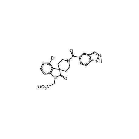 O=C(O)CN1C(=O)C2(CCN(C(=O)c3ccc4[nH]ncc4c3)CC2)c2c(Br)cccc21